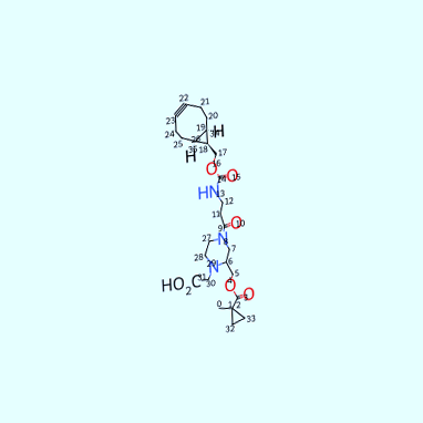 CC1(C(=O)OCC2CN(C(=O)CCNC(=O)OC[C@@H]3[C@@H]4CCC#CCC[C@@H]43)CCN2CC(=O)O)CC1